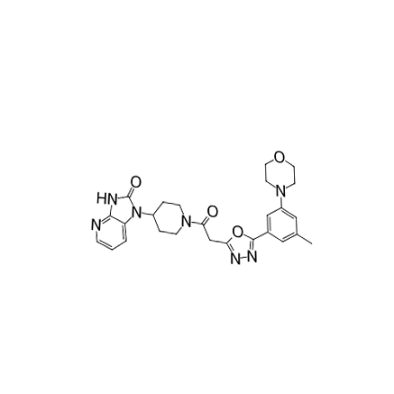 Cc1cc(-c2nnc(CC(=O)N3CCC(n4c(=O)[nH]c5ncccc54)CC3)o2)cc(N2CCOCC2)c1